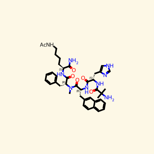 CC(=O)NCCCC[C@H](NC(=O)[C@@H](Cc1ccccc1)N(C)C(=O)[C@@H](Cc1ccc2ccccc2c1)NC(=O)[C@H](Cc1c[nH]cn1)NC(=O)C(C)(C)N)C(N)=O